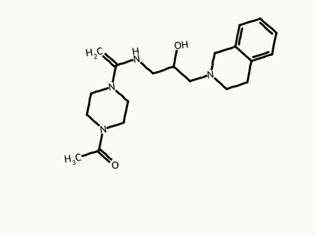 C=C(NCC(O)CN1CCc2ccccc2C1)N1CCN(C(C)=O)CC1